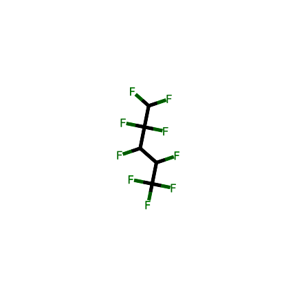 FC(C(F)C(F)(F)C(F)F)C(F)(F)F